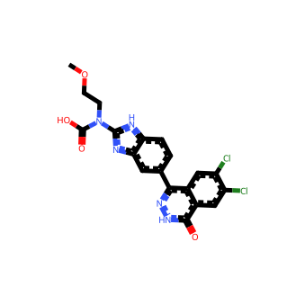 COCCN(C(=O)O)c1nc2cc(-c3n[nH]c(=O)c4cc(Cl)c(Cl)cc34)ccc2[nH]1